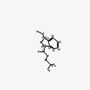 CCN1CN(C(C)CCC(C)C)c2ccccc21